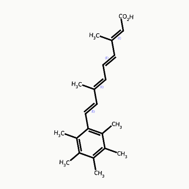 CC(/C=C/c1c(C)c(C)c(C)c(C)c1C)=C\C=C\C(C)=C\C(=O)O